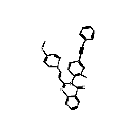 COc1ccc(C=Cc2nc3ccccc3c(=O)n2-c2ccc(C#Cc3cccnc3)cc2C)cc1